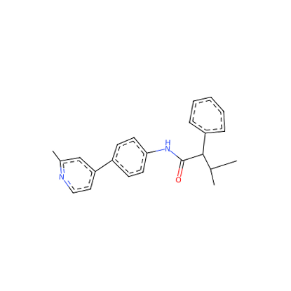 Cc1cc(-c2ccc(NC(=O)C(c3ccccc3)C(C)C)cc2)ccn1